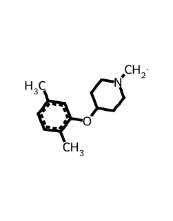 [CH2]N1CCC(Oc2cc(C)ccc2C)CC1